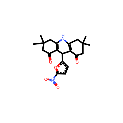 CC1(C)CC(=O)C2=C(C1)NC1=C(C(=O)CC(C)(C)C1)C2c1ccc([N+](=O)[O-])o1